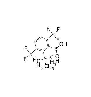 CC(C)(C)c1c(C(F)(F)F)ccc(C(F)(F)F)c1B(O)O